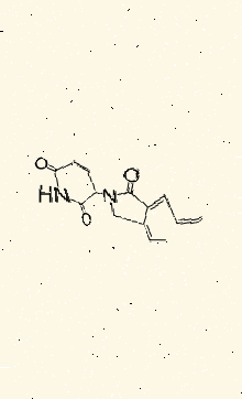 C=C/C=C1/C(=O)N(C2CCC(=O)NC2=O)C/C1=C/C